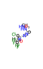 CNC(=O)NCCc1ccccc1N1CCN(CC[C@H](CN(C)C(=O)c2cc(C(F)(F)F)cc(C(F)(F)F)c2)c2ccc(Cl)cc2)CC1